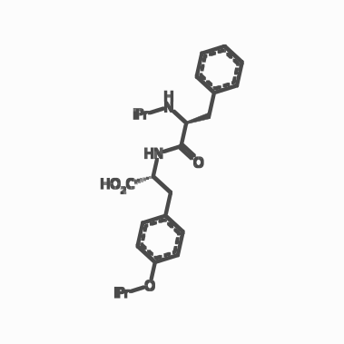 CC(C)N[C@@H](Cc1ccccc1)C(=O)N[C@H](Cc1ccc(OC(C)C)cc1)C(=O)O